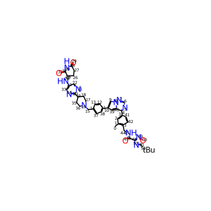 Cc1cc(-c2ncnn3cc(-c4ccc(CN5CCC(c6ncc(N[C@H]7CCC(=O)NC7=O)cn6)CC5)cc4)cc23)ccc1CNC(=O)c1noc(C(C)(C)C)n1